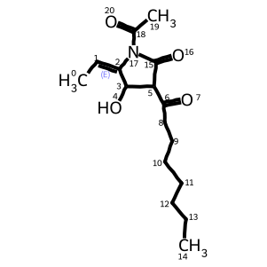 C/C=C1\C(O)C(C(=O)CCCCCCC)C(=O)N1C(C)=O